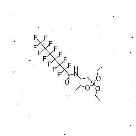 CCO[Si](CCNC(=O)C(F)(F)C(F)(F)C(F)(F)C(F)(F)C(F)(F)C(F)(F)F)(OCC)OCC